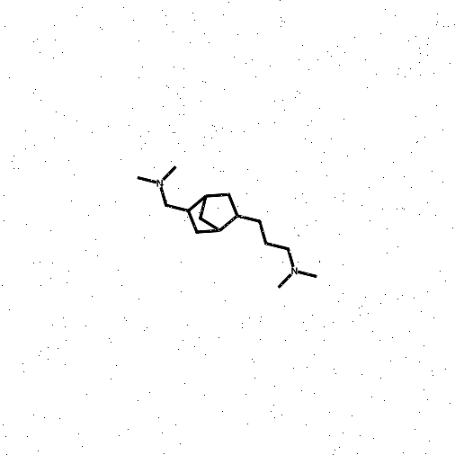 CN(C)CCCC1CC2CC1CC2CN(C)C